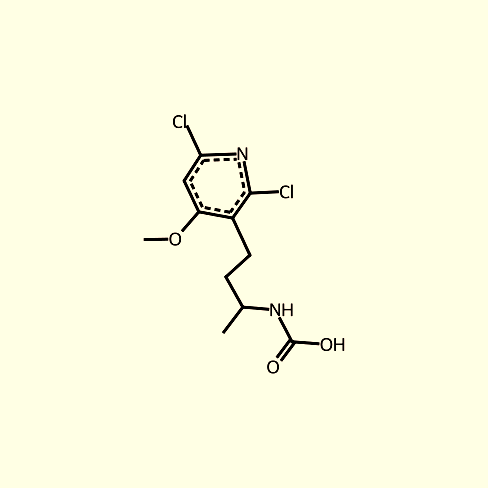 COc1cc(Cl)nc(Cl)c1CCC(C)NC(=O)O